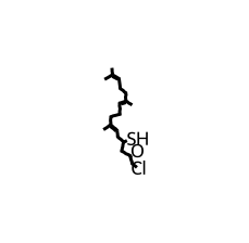 CC(C)=CCCC(C)=CCCC(C)=CCC(S)CC(=O)CCl